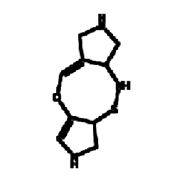 C1=C2CNCC2NSC2CNC=C2O1